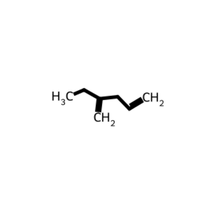 C=CCC(=C)CC